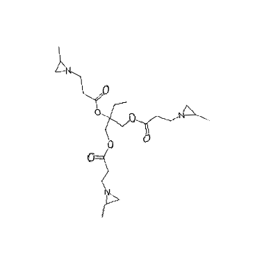 CCC(COC(=O)CCN1CC1C)(COC(=O)CCN1CC1C)OC(=O)CCN1CC1C